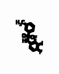 Cc1cccc(S(=O)(=O)Nc2ccc(F)c(I)c2F)c1